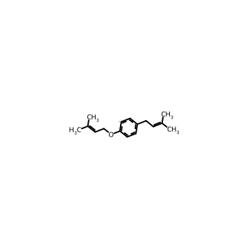 CC(C)=CCOc1[c]cc(CC=C(C)C)cc1